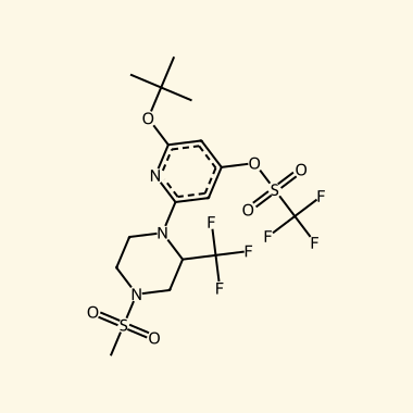 CC(C)(C)Oc1cc(OS(=O)(=O)C(F)(F)F)cc(N2CCN(S(C)(=O)=O)CC2C(F)(F)F)n1